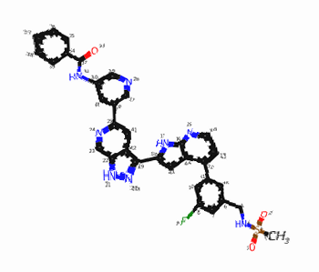 CS(=O)(=O)NCc1cc(F)cc(-c2ccnc3[nH]c(-c4n[nH]c5cnc(-c6cncc(NC(=O)c7ccccc7)c6)cc45)cc23)c1